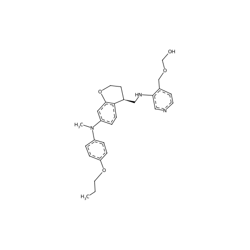 CCCOc1ccc(N(C)c2ccc3c(c2)OCC[C@H]3CNc2cnccc2COCO)cc1